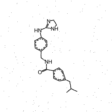 CC(C)Cc1ccc(C(=O)NCc2ccc(NC3=NCCN3)cc2)cc1